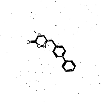 C[C@@H]1CC(Cc2ccc(-c3ccccc3)cc2)=NOC1=O